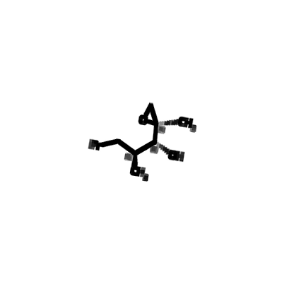 CC(C)C[C@H](C)[C@@H](O)[C@]1(C)CO1